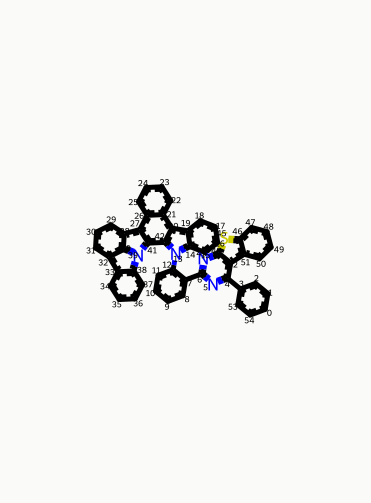 c1ccc(-c2nc(-c3ccccc3-n3c4ccccc4c4c5ccccc5c5c6cccc7c8ccccc8n(c76)c5c43)nc3sc4ccccc4c23)cc1